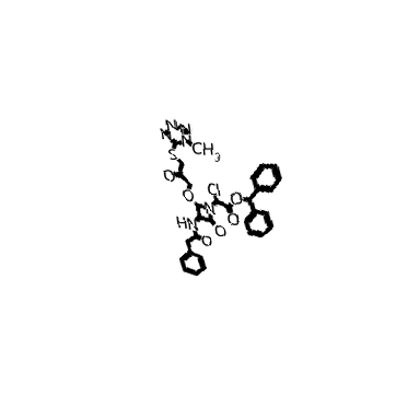 Cn1nnnc1SCC(=O)COC1C(NC(=O)Cc2ccccc2)C(=O)N1C(Cl)C(=O)OC(c1ccccc1)c1ccccc1